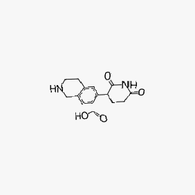 O=C1CCC(c2ccc3c(c2)CCNC3)C(=O)N1.O=CO